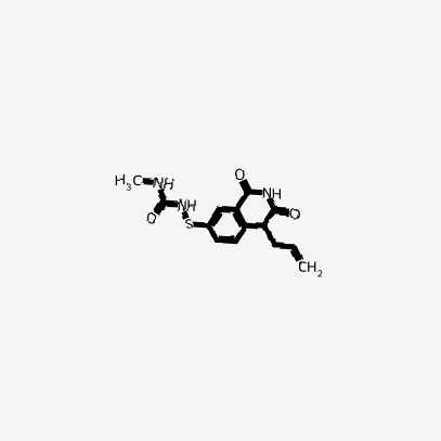 C=CCC1C(=O)NC(=O)c2cc(SNC(=O)NC)ccc21